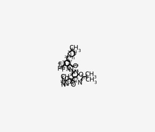 CC(C)C(C#N)Oc1cc(C2(Cc3nncn3C)COC2)cc(N2Cc3c(cc(CN4CCC[C@H](C)C4)cc3C(F)(F)F)C2=O)n1